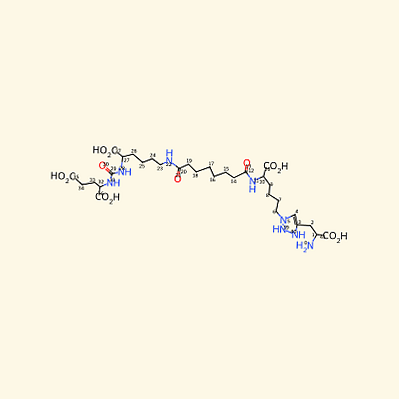 NC(CC1=CN(CCCCC(NC(=O)CCCCCCC(=O)NCCCCC(NC(=O)NC(CCC(=O)O)C(=O)O)C(=O)O)C(=O)O)NN1)C(=O)O